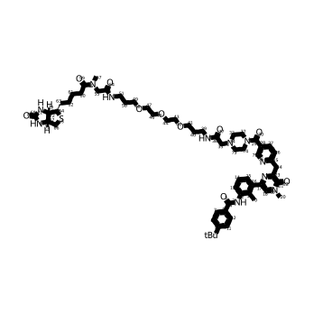 Cc1c(NC(=O)c2ccc(C(C)(C)C)cc2)cccc1-c1cn(C)c(=O)c(Cc2ccc(C(=O)N3CCN(CC(=O)NCCCOCCOCCOCCCNC(=O)CN(C)C(=O)CCCC[C@@H]4SC[C@@H]5NC(=O)N[C@@H]54)CC3)cn2)n1